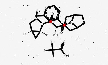 N#C[C@@H]1C[C@@H]2C[C@@H]2N1C(=O)[C@@H](N)C1CC2CCC(C1)N2C(=O)c1ccnc(F)c1.O=C(O)C(F)(F)F